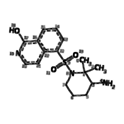 CC1(C)C(N)CCCN1S(=O)(=O)c1cccc2c(O)nccc12